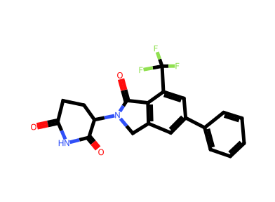 O=C1CCC(N2Cc3cc(-c4ccccc4)cc(C(F)(F)F)c3C2=O)C(=O)N1